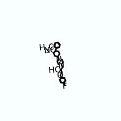 Cc1ccccc1C1(C#N)CCC(N2CCN(CC(O)COc3ccc(F)cc3)CC2)CC1